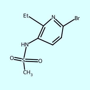 CCc1nc(Br)ccc1NS(C)(=O)=O